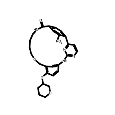 O=C1NCCCCOCc2cc(ccc2OC2CCCOC2)Nc2nccc(n2)-c2ccc1cc2[N+](=O)[O-]